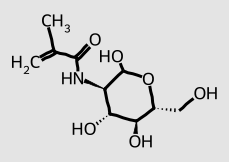 C=C(C)C(=O)N[C@H]1C(O)O[C@H](CO)[C@@H](O)[C@@H]1O